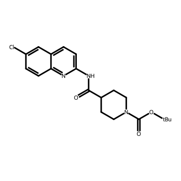 CC(C)(C)OC(=O)N1CCC(C(=O)Nc2ccc3cc(Cl)ccc3n2)CC1